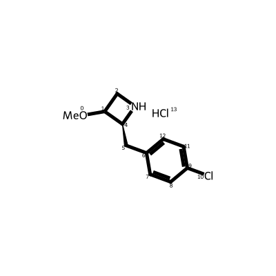 COC1CN[C@H]1Cc1ccc(Cl)cc1.Cl